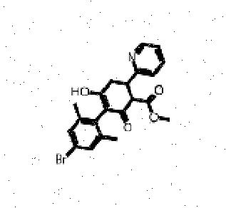 COC(=O)C1C(=O)C(c2c(C)cc(Br)cc2C)=C(O)CC1c1ccccn1